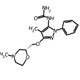 Cc1c(OC[C@H]2CN(C)CCO2)nn(-c2ccccc2)c1NC(N)=O